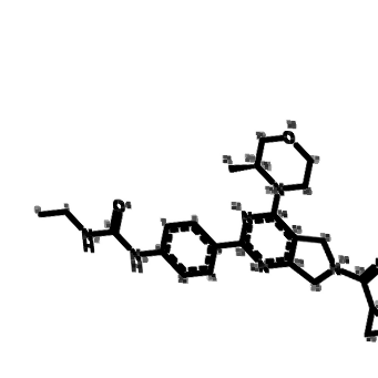 CCNC(=O)Nc1ccc(-c2nc3c(c(N4CCOC[C@@H]4C)n2)CN(C(=O)C2CC2)C3)cc1